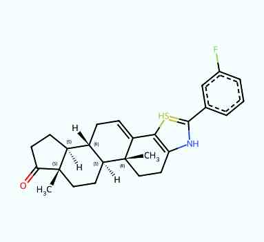 C[C@]12CCC3=C([SH]=C(c4cccc(F)c4)N3)C1=CC[C@@H]1[C@@H]2CC[C@]2(C)C(=O)CC[C@@H]12